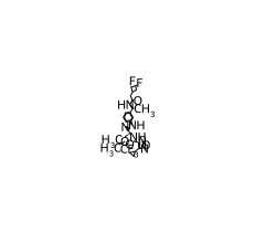 C[C@@H](NC(=O)CC1CC(F)(F)C1)c1ccc2nc([C@H](COC(C)(C)C(F)(F)F)NC(=O)c3nonc3C3CC3)[nH]c2c1